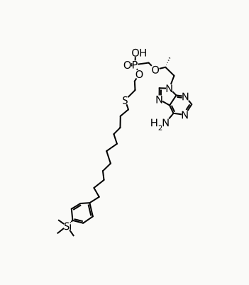 C[C@H](Cn1cnc2c(N)ncnc21)OCP(=O)(O)OCCSCCCCCCCCCCCc1ccc([Si](C)(C)C)cc1